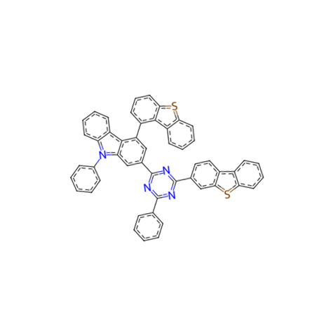 c1ccc(-c2nc(-c3ccc4c(c3)sc3ccccc34)nc(-c3cc(-c4cccc5sc6ccccc6c45)c4c5ccccc5n(-c5ccccc5)c4c3)n2)cc1